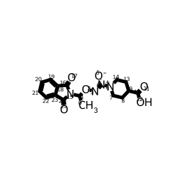 CC(ON=[N+]([O-])N1CCC(C(=O)O)CC1)N1C(=O)c2ccccc2C1=O